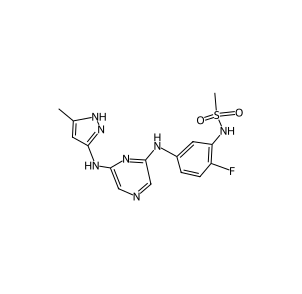 Cc1cc(Nc2cncc(Nc3ccc(F)c(NS(C)(=O)=O)c3)n2)n[nH]1